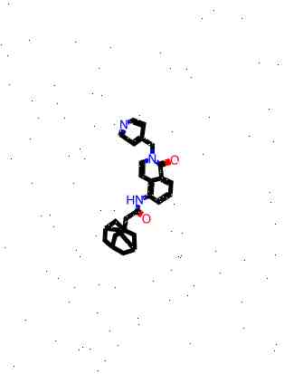 O=C(CC12CC3CC(CC(C3)C1)C2)Nc1cccc2c(=O)n(Cc3ccncc3)ccc12